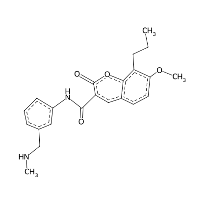 CCCc1c(OC)ccc2cc(C(=O)Nc3cccc(CNC)c3)c(=O)oc12